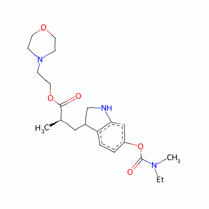 CCN(C)C(=O)Oc1ccc2c(c1)NCC2C[C@@H](C)C(=O)OCCN1CCOCC1